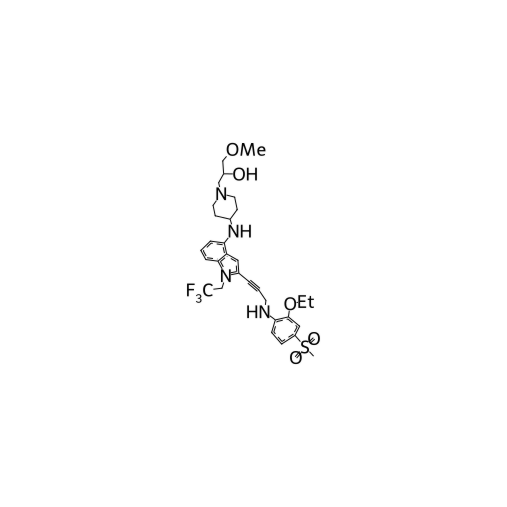 CCOc1cc(S(C)(=O)=O)ccc1NCC#Cc1cc2c(NC3CCN(CC(O)COC)CC3)cccc2n1CC(F)(F)F